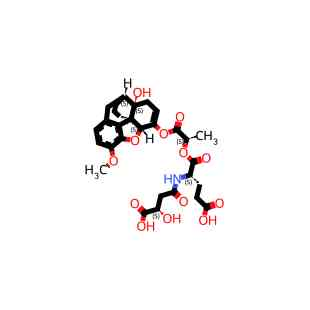 COc1ccc2c3c1O[C@@H]1C(OC(=O)[C@H](C)OC(=O)[C@H](CCC(=O)O)NC(=O)C[C@H](O)C(=O)O)=CC[C@]4(O)[C@@H](CCC[C@@]314)C2